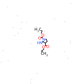 C=CCOC(=O)C1CCN(C(=O)OCC=C)C1=N